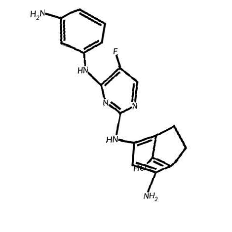 Nc1cccc(Nc2nc(Nc3cc(N)c4c(O)c3CC4)ncc2F)c1